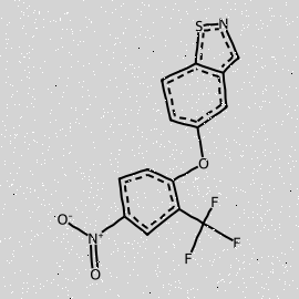 O=[N+]([O-])c1ccc(Oc2ccc3sncc3c2)c(C(F)(F)F)c1